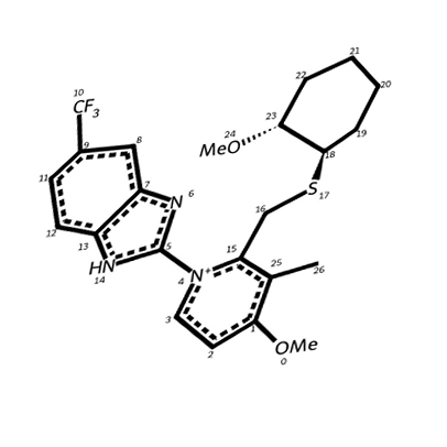 COc1cc[n+](-c2nc3cc(C(F)(F)F)ccc3[nH]2)c(CS[C@@H]2CCCC[C@H]2OC)c1C